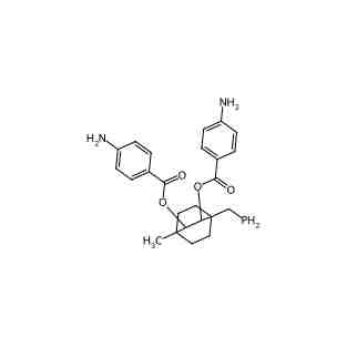 CC12CCC(CP)(CC1)C(OC(=O)c1ccc(N)cc1)C2OC(=O)c1ccc(N)cc1